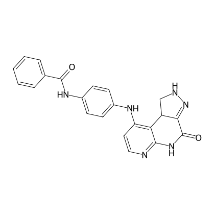 O=C1Nc2nccc(Nc3ccc(NC(=O)c4ccccc4)cc3)c2C2CNN=C12